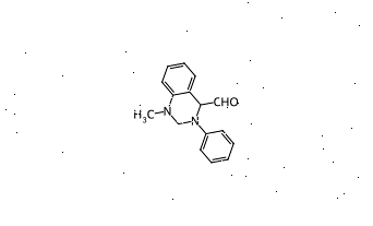 CN1CN(c2ccccc2)C(C=O)c2ccccc21